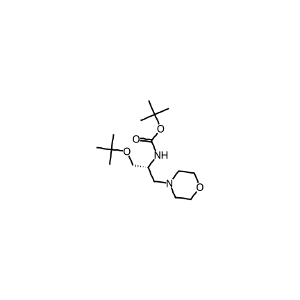 CC(C)(C)OC[C@@H](CN1CCOCC1)NC(=O)OC(C)(C)C